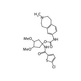 COC1CC(NC(=O)c2ccc(Cl)s2)(OC(=O)Nc2ccc3c(c2)CCN(C)CC3)CC1OC